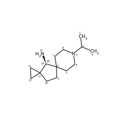 CC(C)N1CCC2(CC1)CCC1(CC1)[C@H]2N